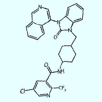 O=C(NC1CCC(Cn2c(=O)n(-c3cncc4ccccc34)c3ccccc32)CC1)c1cc(Cl)cnc1C(F)(F)F